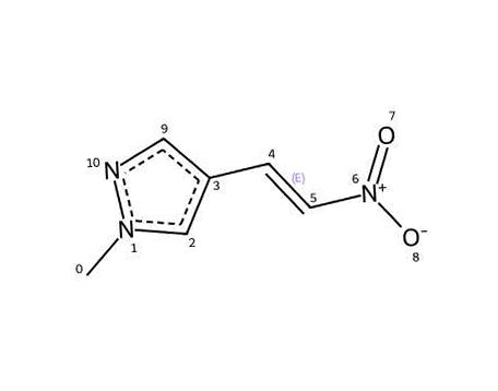 Cn1cc(/C=C/[N+](=O)[O-])cn1